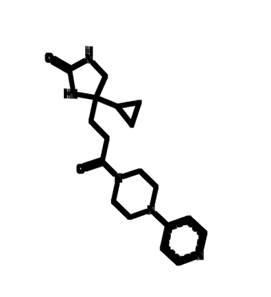 O=C1NCC(CCC(=O)N2CCN(c3ccncc3)CC2)(C2CC2)N1